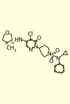 C[C@@H]1CCOC[C@@H]1CNc1cnn(C2CCN(S(=O)(=O)N(c3ccccc3)C3CC3)CC2)c(=O)c1Cl